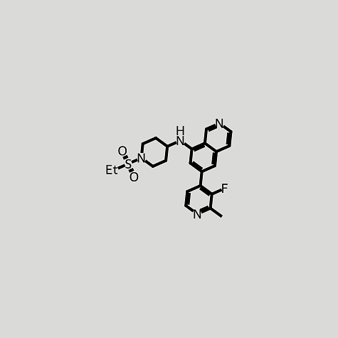 CCS(=O)(=O)N1CCC(Nc2cc(-c3ccnc(C)c3F)cc3ccncc23)CC1